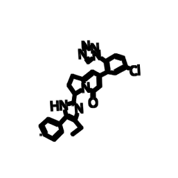 CCc1nc(C2CCc3cc(-c4cc(Cl)ccc4-n4cnnn4)cc(=O)n32)[nH]c1-c1cc[c]cc1